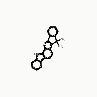 CC1(C)c2ccccc2-c2oc3c(ccc4c5ccccc5[nH]c43)c21